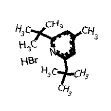 Br.Cc1cc(C(C)(C)C)nc(C(C)(C)C)c1